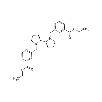 CCOC(=O)c1ccnc(CN2CCC[C@H]2[C@@H]2CCCN2Cc2cc(C(=O)OCC)ccn2)c1